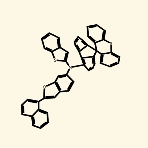 c1ccc2c(c1)Sc1ccccc1C21c2ccccc2-c2c(N(c3ccc4cc(-c5cccc6ccccc56)oc4c3)c3cc4ccccc4s3)cccc21